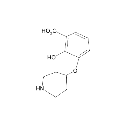 O=C(O)c1cccc(OC2CCNCC2)c1O